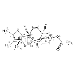 CC(=O)O[C@H]1CC[C@@]2(C)[C@@H](CC[C@@H]3[C@@H]2CC[C@]2(C)C(C)=C(C)C[C@@H]32)C1